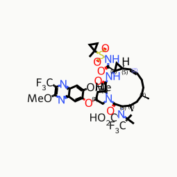 COc1cc2nc(C(F)(F)F)c(OC)nc2cc1O[C@@H]1C[C@H]2C(=O)N[C@]3(C(=O)NS(=O)(=O)C4(C)CC4)C[C@H]3/C=C\CC[C@@H](C)C[C@@H](C)[C@H](N(C(=O)O)C(C)(C)C(F)(F)F)C(=O)N2C1